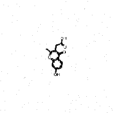 Cc1oc2cc(O)ccc2c(=O)c1CC(=O)O